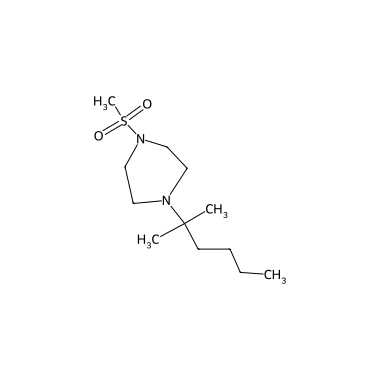 CCCCC(C)(C)N1CCN(S(C)(=O)=O)CC1